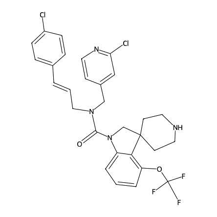 O=C(N(CC=Cc1ccc(Cl)cc1)Cc1ccnc(Cl)c1)N1CC2(CCNCC2)c2c(OC(F)(F)F)cccc21